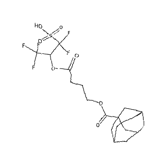 O=C(CCCOC(=O)C12CC3CC(CC(C3)C1)C2)OC(C(F)(F)F)C(F)(F)S(=O)(=O)O